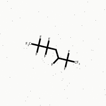 FC(CC(F)(F)C(F)(F)C(F)(F)F)C(F)(F)C(F)(F)F